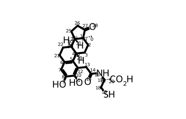 C[C@]12CC[C@@H]3c4c(cc(O)c(O)c4CC(=O)N[C@@H](CS)C(=O)O)CC[C@H]3[C@@H]1CCC2=O